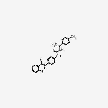 Cc1ccc([C@@H](C)NC(=S)Nc2ccc(NC(=O)c3ccccc3F)cc2)cc1